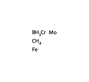 B.C.[Cr].[Fe].[Mo]